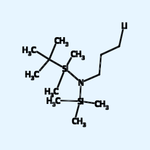 [Li][CH2]CCN([Si](C)(C)C)[Si](C)(C)C(C)(C)C